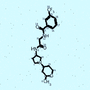 CC1CC(N2CCC(NC(=O)CNC(=O)c3cccc(C(F)(F)F)c3)C2)CCO1